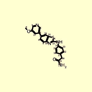 COc1cncc(-c2ccc3nc(Nc4ccc(CC(N)=O)cc4)sc3c2)c1